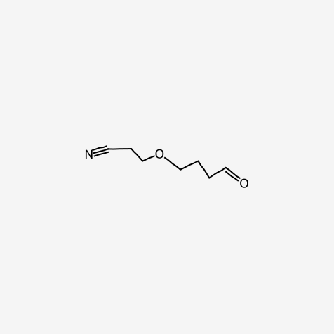 N#CCCOCCCC=O